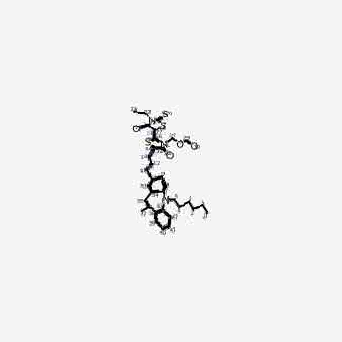 CCCCCCN1c2ccc(/C=C/C=c3/s/c(=C4/SC(=S)N(CC)C4=O)n(COC=O)c3=O)cc2C=C(C)c2ccccc21